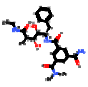 CCCN(CCC)C(=O)c1cc(C(N)=O)cc(C(=O)N[C@@H](Cc2ccccc2)[C@@H](O)[C@H](O)[C@H](C(=O)NCC(C)C)C(C)C)c1